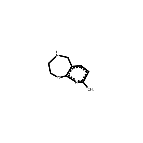 Cc1ccc2c(n1)OCCNC2